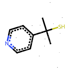 CC(C)(S)c1ccncc1